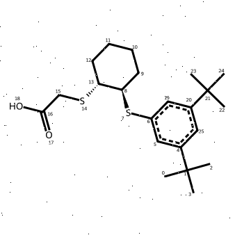 CC(C)(C)c1cc(S[C@@H]2CCCC[C@H]2SCC(=O)O)cc(C(C)(C)C)c1